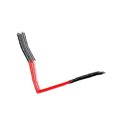 [Cu+2].[Cu+2].[Cu+2].[Cu+2].[Cu+2].[Cu+2].[Cu+2].[Cu+2].[Cu+2].[Cu+2].[Cu+2].[Cu+2].[Cu+2].[Cu+2].[Cu+2].[Cu+2].[Cu+2].[Cu+2].[Cu+2].[Cu+2].[Cu+2].[Cu+2].[Cu+2].[Cu+2].[Cu+2].[Cu+2].[Cu+2].[Cu+2].[Cu+2].[Cu+2].[Cu+2].[Cu+2].[Cu+2].[Cu+2].[Cu+2].[Cu+2].[Cu+2].[Cu+2].[Cu+2].[Cu+2].[Cu+2].[Cu+2].[Cu+2].[Cu+2].[Cu+2].[Cu+2].[Cu+2].[Cu+2].[Cu+2].[Cu+2].[Cu+2].[Cu+2].[Cu+2].[Cu+2].[Cu+2].[Cu+2].[Cu+2].[Cu+2].[Cu+2].[Cu+2].[Cu+2].[Cu+2].[Cu+2].[Cu+2].[Cu+2].[Cu+2].[Cu+2].[Cu+2].[Cu+2].[Cu+2].[O-2].[O-2].[O-2].[O-2].[O-2].[O-2].[O-2].[O-2].[O-2].[O-2].[O-2].[O-2].[O-2].[O-2].[O-2].[O-2].[O-2].[O-2].[O-2].[O-2].[O-2].[O-2].[O-2].[O-2].[O-2].[O-2].[O-2].[O-2].[O-2].[O-2].[O-2].[O-2].[O-2].[O-2].[O-2].[O-2].[O-2].[O-2].[O-2].[O-2].[O-2].[O-2].[O-2].[O-2].[O-2].[O-2].[O-2].[O-2].[O-2].[O-2].[O-2].[O-2].[O-2].[O-2].[O-2].[O-2].[O-2].[O-2].[O-2].[O-2].[O-2].[O-2].[O-2].[O-2].[O-2].[O-2].[O-2].[O-2].[O-2].[O-2].[O-2].[O-2].[O-2].[O-2].[O-2].[O-2].[O-2].[O-2].[O-2].[O-2]